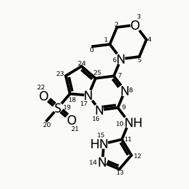 CC1COCCN1c1nc(Nc2ccn[nH]2)nn2c(S(C)(=O)=O)ccc12